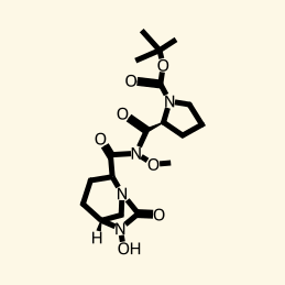 CON(C(=O)C1CC[C@@H]2CN1C(=O)N2O)C(=O)[C@@H]1CCCN1C(=O)OC(C)(C)C